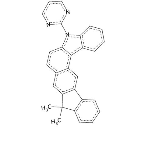 CC1(C)c2ccccc2-c2cc3c(ccc4c3c3ccccc3n4-c3ncccn3)cc21